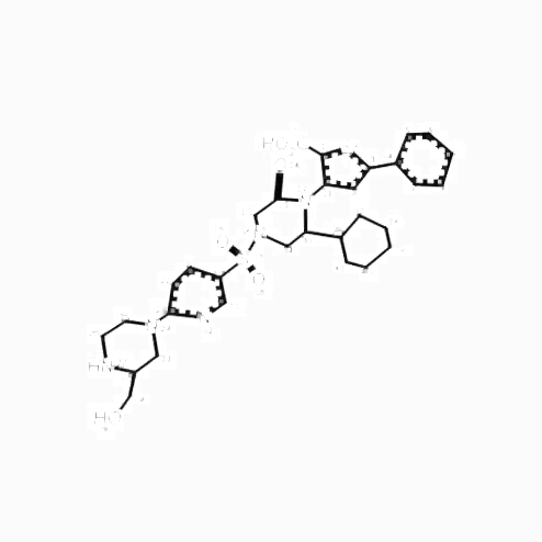 O=C(O)c1sc(-c2ccccc2)cc1N1C(=O)CN(S(=O)(=O)c2ccc(N3CCNC(CO)C3)nc2)CC1C1CCCCC1